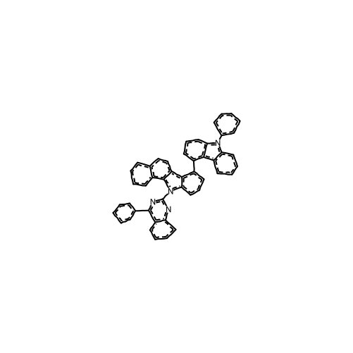 c1ccc(-c2nc(-n3c4cccc(-c5cccc6c5c5ccccc5n6-c5ccccc5)c4c4ccc5ccccc5c43)nc3ccccc23)cc1